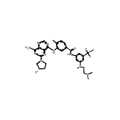 Cc1ccc(C(=O)Nc2cc(N(C)CCN(C)C)cc(C(F)(F)F)c2)cc1Nc1ncnc2c(N)nc(N3CC[C@H](F)C3)nc12